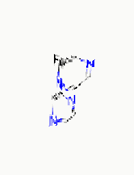 [Fe].c1cnccn1.c1cnccn1